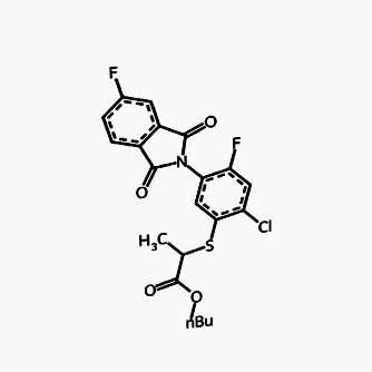 CCCCOC(=O)C(C)Sc1cc(N2C(=O)c3ccc(F)cc3C2=O)c(F)cc1Cl